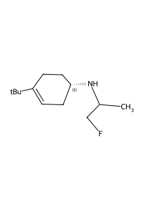 CC(CF)N[C@@H]1CC=C(C(C)(C)C)CC1